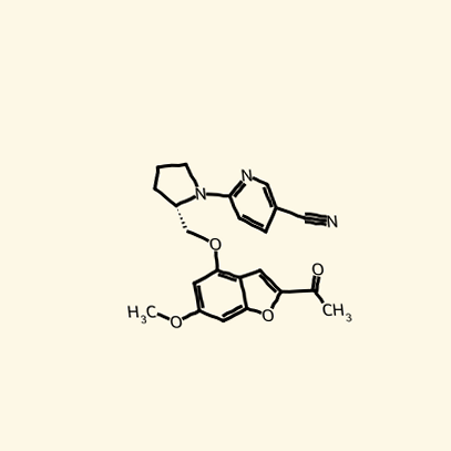 COc1cc(OC[C@@H]2CCCN2c2ccc(C#N)cn2)c2cc(C(C)=O)oc2c1